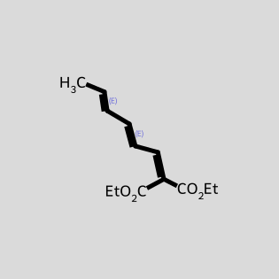 C/C=C/C=C/C=C(C(=O)OCC)C(=O)OCC